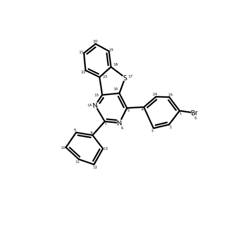 Brc1ccc(-c2nc(-c3ccccc3)nc3c2sc2ccccc23)cc1